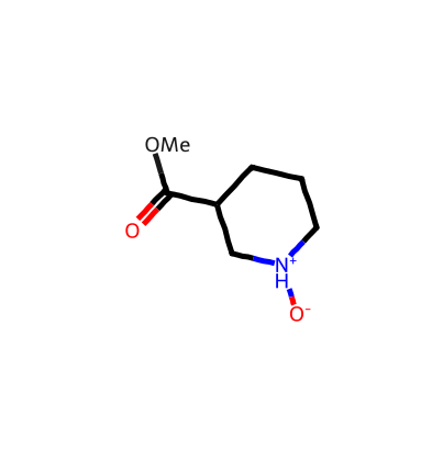 COC(=O)C1CCC[NH+]([O-])C1